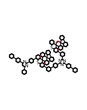 c1ccc(-c2ccc(-c3cc(-c4ccccc4)nc(-c4ccc(-c5cccc6c5Sc5ccc(-c7cccc(-c8ccc(-c9nc(-c%10ccc(-c%11ccccc%11)cc%10)nc(-c%10cccc(-c%11ccc%12c(c%11)C%11(c%13ccccc%13S%12)c%12ccccc%12C%12(c%13ccccc%13-c%13ccccc%13%12)c%12ccccc%12%11)c%10)n9)cc8)c7)cc5C65c6ccccc6C6(c7ccccc7-c7ccccc76)c6ccccc65)cc4)n3)cc2)cc1